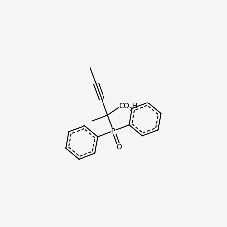 CC#CC(C)(C(=O)O)P(=O)(c1ccccc1)c1ccccc1